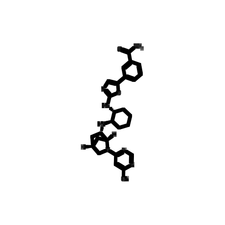 N#Cc1cc(N2C[C@@H]3C[C@H](N[C@@H]4CCCC[C@H]4Nc4ncc(-c5cccc(C(N)=O)c5)o4)[C@H]2C3)ncn1